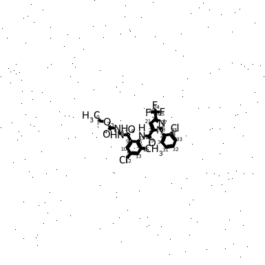 CCOC(=O)NNC(=O)c1cc(Cl)cc(C)c1NC(=O)c1cc(C(F)(F)F)nn1-c1ccccc1Cl